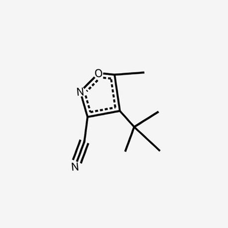 Cc1onc(C#N)c1C(C)(C)C